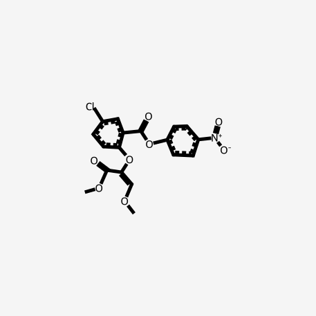 COC=C(Oc1ccc(Cl)cc1C(=O)Oc1ccc([N+](=O)[O-])cc1)C(=O)OC